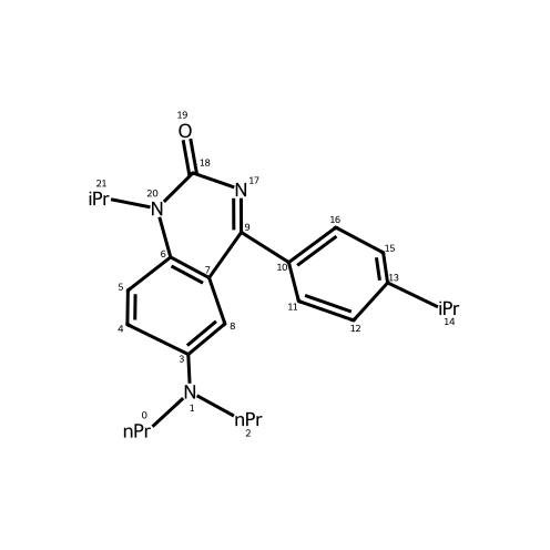 CCCN(CCC)c1ccc2c(c1)c(-c1ccc(C(C)C)cc1)nc(=O)n2C(C)C